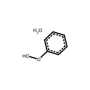 O.OOc1ccccc1